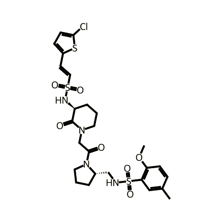 COc1ccc(C)cc1S(=O)(=O)NC[C@@H]1CCCN1C(=O)CN1CCC[C@H](NS(=O)(=O)/C=C/c2ccc(Cl)s2)C1=O